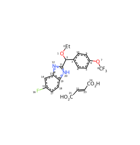 CCOC(c1ccc(OC(F)(F)F)cc1)c1nc2cc(F)ccc2[nH]1.O=C(O)C=CC(=O)O